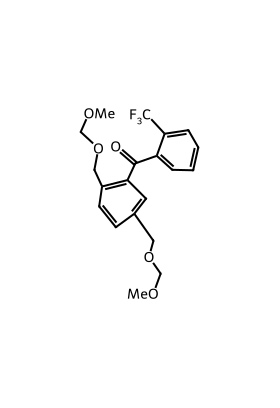 COCOCc1ccc(COCOC)c(C(=O)c2ccccc2C(F)(F)F)c1